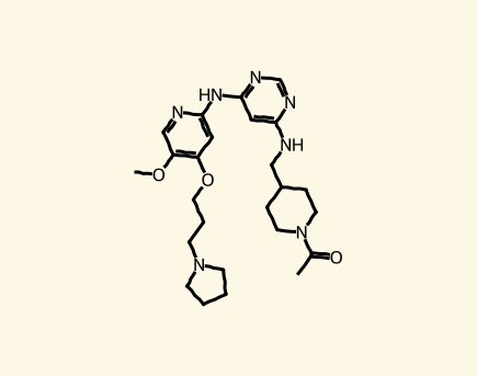 COc1cnc(Nc2cc(NCC3CCN(C(C)=O)CC3)ncn2)cc1OCCCN1CCCC1